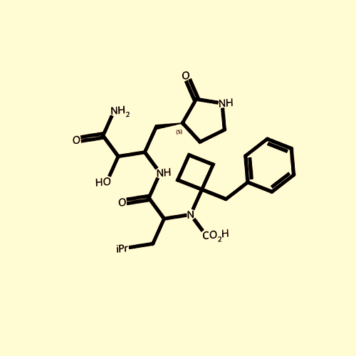 CC(C)CC(C(=O)NC(C[C@@H]1CCNC1=O)C(O)C(N)=O)N(C(=O)O)C1(Cc2ccccc2)CCC1